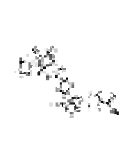 CC(C)C(=O)N1CCC(c2nc(-c3ccc(NC(=O)c4cn(C(C)C)c(=O)n(-c5ccccn5)c4=O)cc3)c3c(N)nccn23)CC1